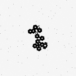 CC1(C)CCC(C)(C)c2cc3c(cc21)-c1c(-c2ccccc2-c2cccc(N(c4ccc5ccccc5c4)c4cccc5sc6ccccc6c45)c2)cccc1C3(c1ccccc1)c1ccccc1